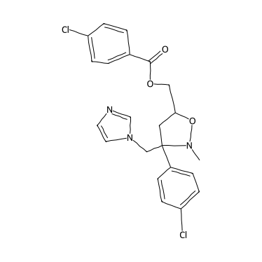 CN1OC(COC(=O)c2ccc(Cl)cc2)CC1(Cn1ccnc1)c1ccc(Cl)cc1